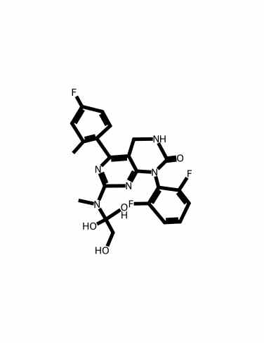 Cc1cc(F)ccc1-c1nc(N(C)C(O)(O)CO)nc2c1CNC(=O)N2c1c(F)cccc1F